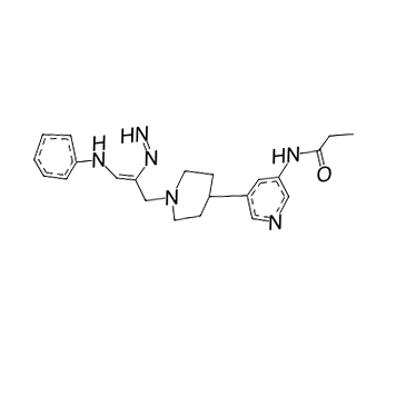 CCC(=O)Nc1cncc(C2CCN(C/C(=C/Nc3ccccc3)N=N)CC2)c1